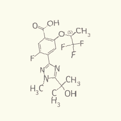 C[C@H](Oc1cc(-c2nc(C(C)(C)O)n(C)n2)c(F)cc1C(=O)O)C(F)(F)F